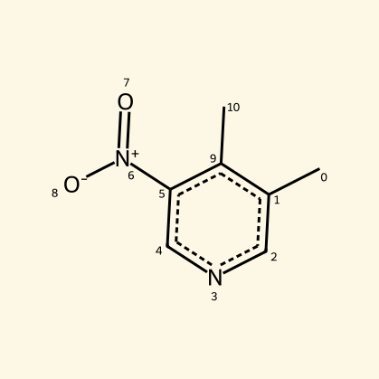 Cc1cncc([N+](=O)[O-])c1C